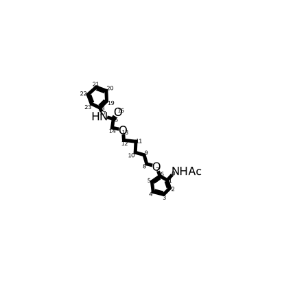 CC(=O)Nc1ccccc1OCCCCCOCC(=O)Nc1ccccc1